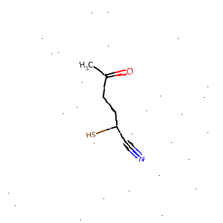 CC(=O)CCC(S)C#N